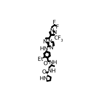 CCc1cc(Nc2nccn3c(-c4cn(CC(F)F)nc4C(F)(F)F)cnc23)ccc1C(=O)NC(C)CNC(=O)[C@@H]1CCCN1